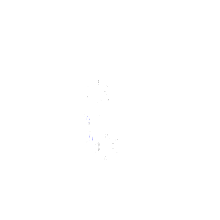 C(=NCc1ccccc1)=Nc1ccccc1